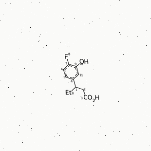 CCC(CC(=O)O)c1ccc(F)c(O)c1